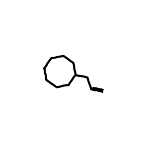 C=CCC1CCCCCCC1